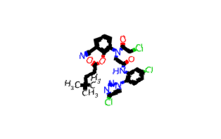 CC(C)(C)CCC(=O)Oc1c(C#N)cccc1N(CC(=O)Nc1cc(Cl)ccc1-n1cc(Cl)nn1)C(=O)CCl